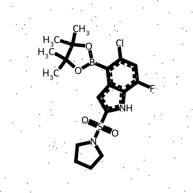 CC1(C)OB(c2c(Cl)cc(F)c3[nH]c(S(=O)(=O)N4CCCC4)cc23)OC1(C)C